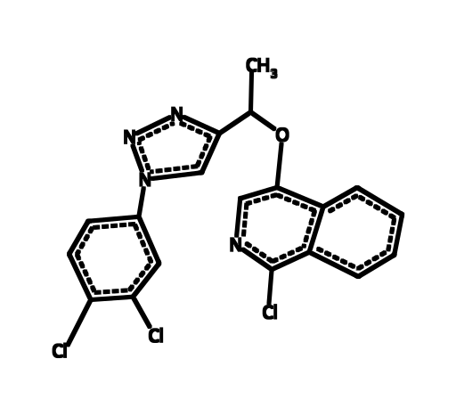 CC(Oc1cnc(Cl)c2ccccc12)c1cn(-c2ccc(Cl)c(Cl)c2)nn1